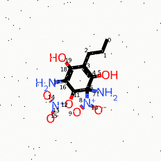 CCCC1=C(O)C(N)([N+](=O)[O-])C(O[N+](=O)[O-])C(N)=C1O